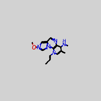 CCCN1C=C(C)C(NC)C2=C1N1CN(OC)C=C1C=N2